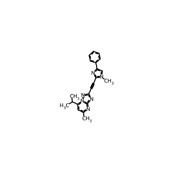 Cc1cc(C(C)C)n2nc(C#Cc3nc(-c4ccccc4)cn3C)nc2n1